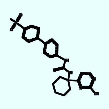 CS(=O)(=O)c1ccc(-c2ccc(NC(=O)NC3(c4ccnc(C#N)n4)CCCCC3)cc2)cc1